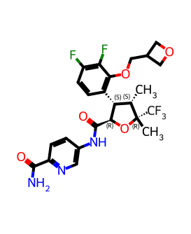 C[C@H]1[C@@H](c2ccc(F)c(F)c2OCC2COC2)[C@H](C(=O)Nc2ccc(C(N)=O)nc2)O[C@@]1(C)C(F)(F)F